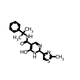 Cc1nc(C2N=CC(C(=O)NC(C)(C)c3ccccc3)=C(O)N2)cs1